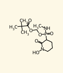 CNP(=O)(OCOC(=O)C(C)(C)C)C1CCCN(O)C1=O